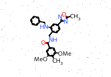 COc1cc(C(=O)NCc2ccc(-c3noc(C)n3)cc2NCc2ccccc2)cc(OC)c1C